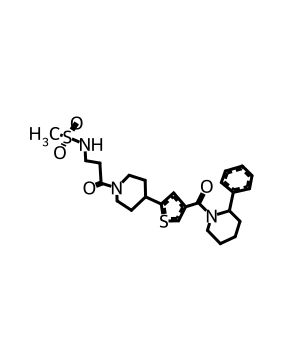 CS(=O)(=O)NCCC(=O)N1CCC(c2cc(C(=O)N3CCCCC3c3ccccc3)cs2)CC1